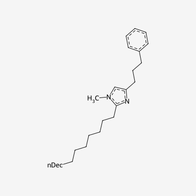 CCCCCCCCCCCCCCCCCc1nc(CCCc2ccccc2)cn1C